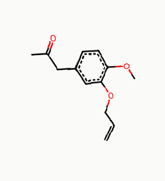 C=CCOc1cc(CC(C)=O)ccc1OC